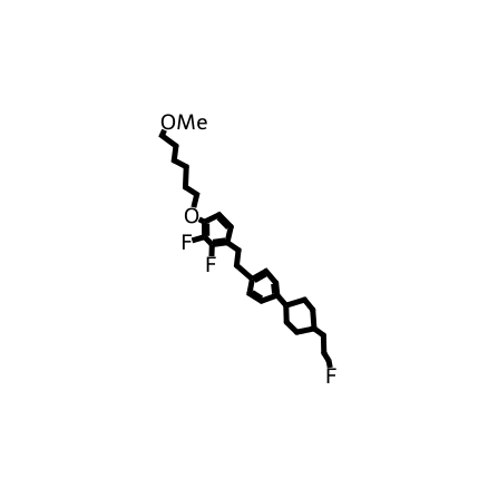 COCCCCCCOc1ccc(CCc2ccc(C3CCC(CCCF)CC3)cc2)c(F)c1F